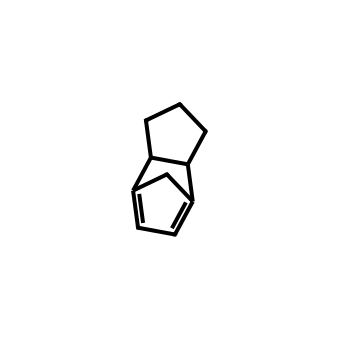 C1=C2CC(=C1)C1CCCC21